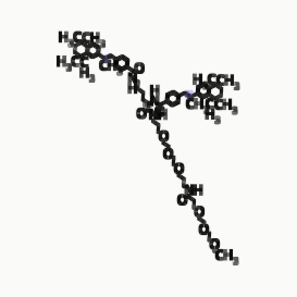 CCOCCOCCOCCC(=O)NCCCOCCOCCOCCCNC(=O)[C@@H](CCCCNC(=O)c1ccc(/C=C(\C)c2ccc3c(c2)C(C)(C)CCC3(C)C)cc1)NC(=O)c1ccc(/C=C(\C)c2ccc3c(c2)C(C)(C)CCC3(C)C)cc1